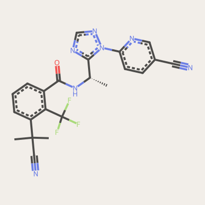 C[C@H](NC(=O)c1cccc(C(C)(C)C#N)c1C(F)(F)F)c1ncnn1-c1ccc(C#N)cn1